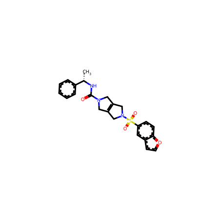 C[C@H](NC(=O)N1CC2=C(C1)CN(S(=O)(=O)c1ccc3occc3c1)C2)c1ccccc1